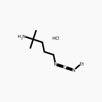 CCN=C=NCCCC(C)(C)N.Cl